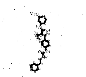 COc1cc(Nc2[nH]nc(-c3ccc(NC(=O)NCCc4ccccc4)cc3)c2C(N)=O)ccn1